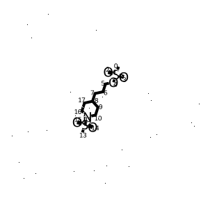 CS(=O)(=O)OCCCC1CCN(S(C)(=O)=O)CC1